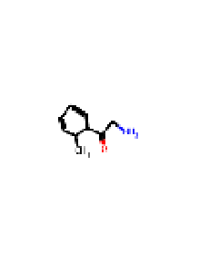 CC1C=CC=CC1C(=O)CN